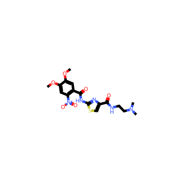 COc1cc(C(=O)Nc2nc(C(=O)NCCN(C)C)cs2)c([N+](=O)[O-])cc1OC